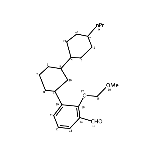 CCCC1CCC(C2CCCC(c3cccc(C=O)c3OCOC)C2)CC1